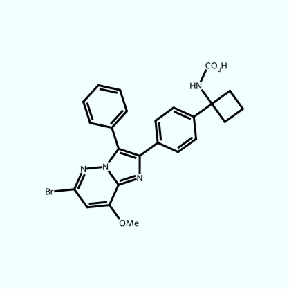 COc1cc(Br)nn2c(-c3ccccc3)c(-c3ccc(C4(NC(=O)O)CCC4)cc3)nc12